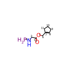 O=C(CNP)OCC1=CCCC1